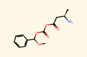 COC(OC(=O)OC(=O)C[C@@H](C)N)c1ccccc1